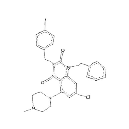 CN1CCN(c2cc(Cl)cc3c2c(=O)n(Cc2ccc(I)cc2)c(=O)n3Cc2ccccc2)CC1